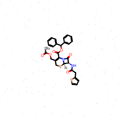 CC(C)(C)C(=O)OCC1=C(C(=O)OC(c2ccccc2)c2ccccc2)N2C(=O)[C@@H](NC(=O)Cc3cccs3)[C@H]2SC1